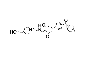 O=C1CC(c2ccc(C(=O)N3CCOCC3)cc2)CC(=O)C1=CNCCN1CCN(CCO)CC1